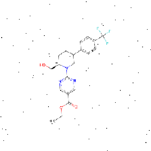 CCOC(=O)c1cnc(N2CC(c3ccc(C(F)(F)F)cc3)CC[C@@H]2CO)nc1